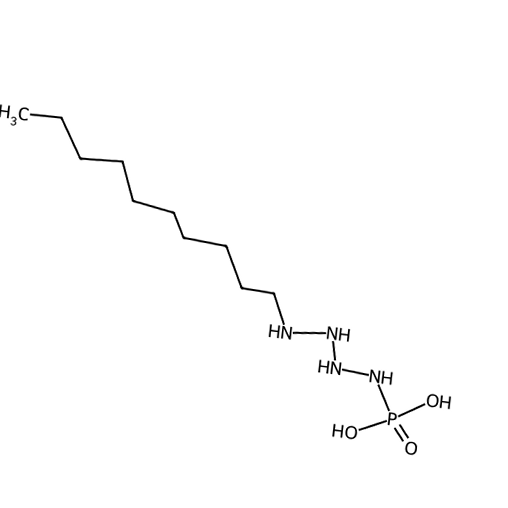 CCCCCCCCCCNNNNP(=O)(O)O